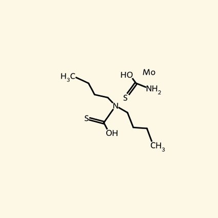 CCCCN(CCCC)C(O)=S.NC(O)=S.[Mo]